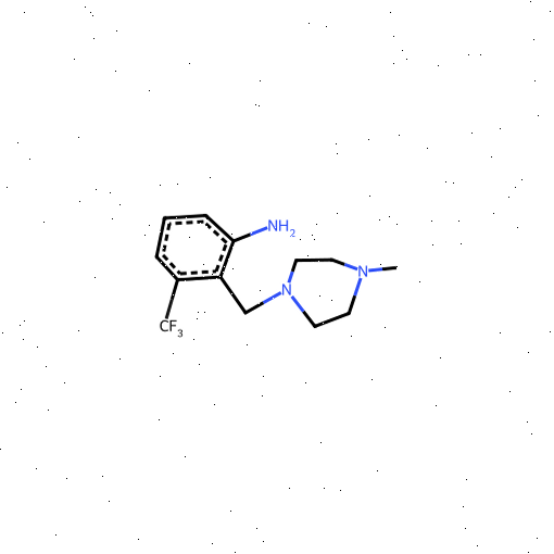 CN1CCN(Cc2c(N)cccc2C(F)(F)F)CC1